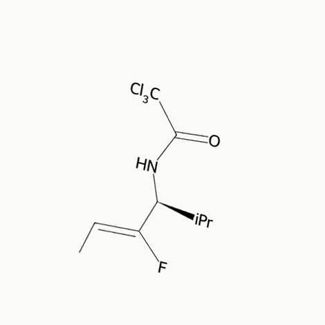 C/C=C(\F)[C@@H](NC(=O)C(Cl)(Cl)Cl)C(C)C